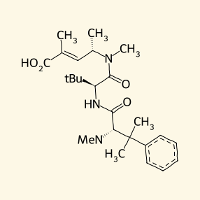 CN[C@H](C(=O)N[C@H](C(=O)N(C)[C@@H](C)/C=C(\C)C(=O)O)C(C)(C)C)C(C)(C)c1ccccc1